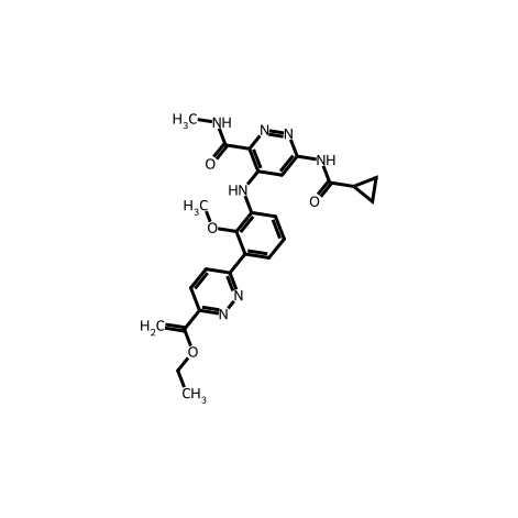 C=C(OCC)c1ccc(-c2cccc(Nc3cc(NC(=O)C4CC4)nnc3C(=O)NC)c2OC)nn1